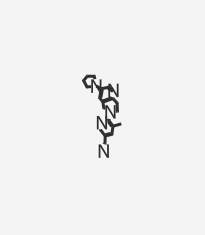 Cc1cc(C#N)cnc1N1CCc2ncc(N3CCCC3)cc2C1